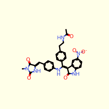 CC(=O)NCCc1ccc(/C(Nc2ccc(/C=C3\NC(=O)N(C)C3=O)cc2)=C2/C(=O)Nc3ccc([N+](=O)[O-])cc32)cc1